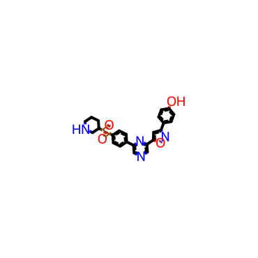 O=S(=O)(c1ccc(-c2cncc(-c3cc(-c4ccc(O)cc4)no3)n2)cc1)C1CCCNC1